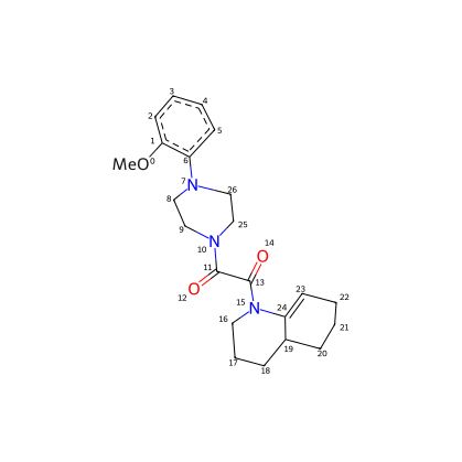 COc1ccccc1N1CCN(C(=O)C(=O)N2CCCC3CCCC=C32)CC1